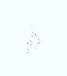 C=CC(=O)Nc1ccc(Cc2nc(Nc3ncc(C#N)s3)cc(N3CCN(C)CC3)n2)cc1